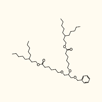 CCCCCC(CCCCC)CCOC(=O)CCCCCOCC(COCc1ccccc1)OCCCCCC(=O)OCCC(CCCCC)CCCCC